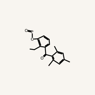 CCc1c(OP=O)cccc1C(=O)c1c(C)cc(C)cc1C